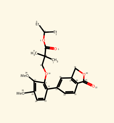 CCC(CC)OC(=O)C(C)(C)COc1c(-c2ccc3c(c2)COC3=O)ccc(OC)c1OC